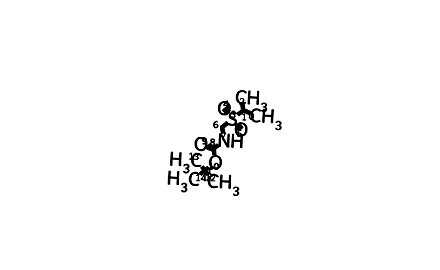 CC(C)S(=O)(=O)CNC(=O)OC(C)(C)C